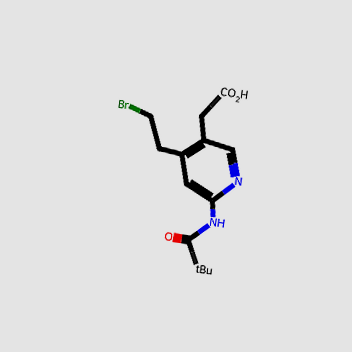 CC(C)(C)C(=O)Nc1cc(CCBr)c(CC(=O)O)cn1